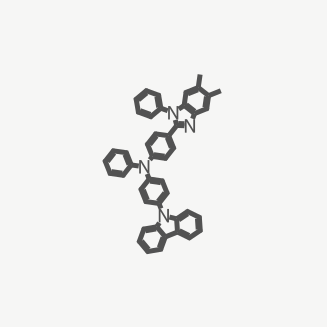 Cc1cc2nc(-c3ccc(N(c4ccccc4)c4ccc(-n5c6ccccc6c6ccccc65)cc4)cc3)n(-c3ccccc3)c2cc1C